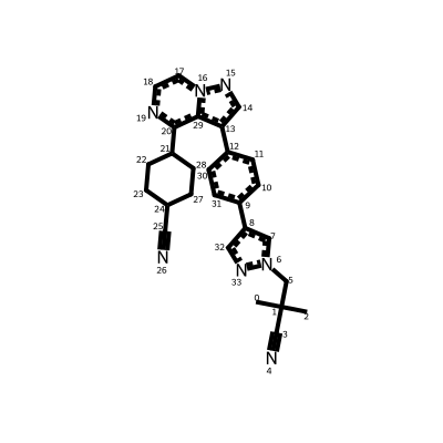 CC(C)(C#N)Cn1cc(-c2ccc(-c3cnn4ccnc(C5CCC(C#N)CC5)c34)cc2)cn1